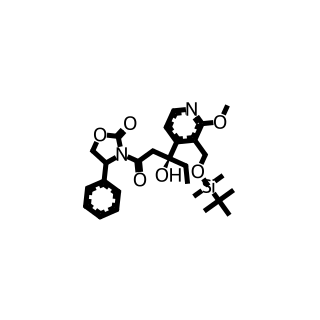 CC[C@](O)(CC(=O)N1C(=O)OCC1c1ccccc1)c1ccnc(OC)c1CO[Si](C)(C)C(C)(C)C